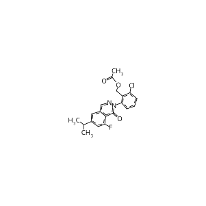 CC(=O)OCc1c(Cl)cccc1-n1ncc2cc(C(C)C)cc(F)c2c1=O